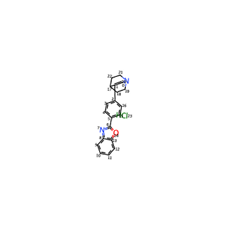 C1=C(c2ccc(-c3nc4ccccc4o3)cc2)C2CCN1CC2.Cl